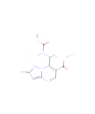 CC(c1c(C(=O)OC(C)(C)C)cnc2cc(Cl)nn12)N(C)C(=O)OC(C)(C)C